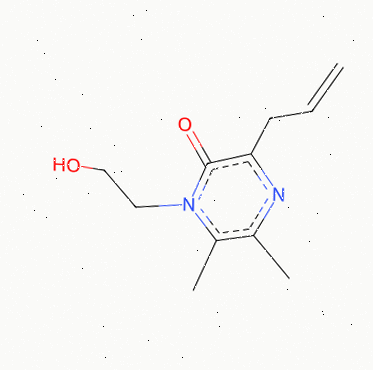 C=CCc1nc(C)c(C)n(CCO)c1=O